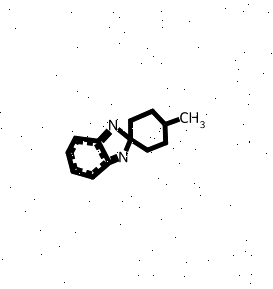 CC1CCC2(CC1)N=c1ccccc1=N2